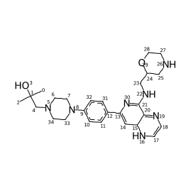 CC(C)(O)CN1CCN(c2ccc(C3=CC4NC=CN=C4C(NCC4CNCCO4)=N3)cc2)CC1